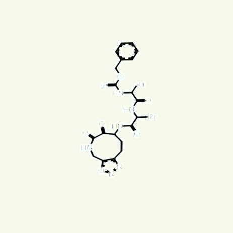 CC(C)C(NC(=O)OCc1ccccc1)C(=O)NC(C(=O)NC1CCc2nnoc2CNC(=O)C1=O)C(C)C